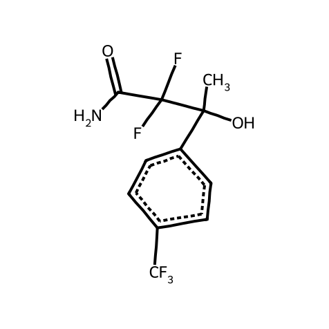 CC(O)(c1ccc(C(F)(F)F)cc1)C(F)(F)C(N)=O